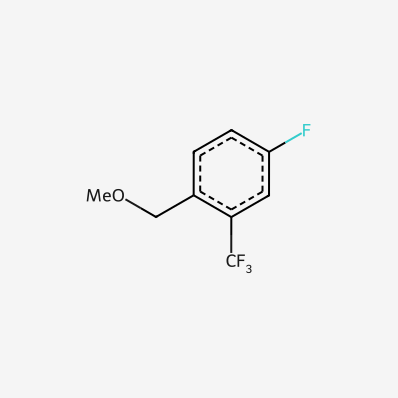 COCc1ccc(F)cc1C(F)(F)F